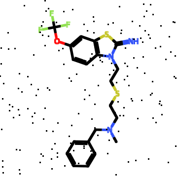 CN(CCSCCn1c(=N)sc2cc(OC(F)(F)F)ccc21)Cc1ccccc1